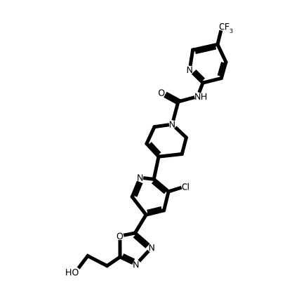 O=C(Nc1ccc(C(F)(F)F)cn1)N1CC=C(c2ncc(-c3nnc(CCO)o3)cc2Cl)CC1